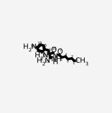 CCCCCCC(=O)NC(=O)[C@@](N)(Cc1ccc(N)cc1)C(=N)N